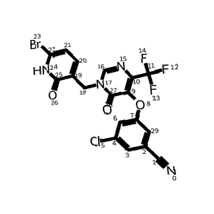 N#Cc1cc(Cl)cc(Oc2c(C(F)(F)F)ncn(Cc3ccc(Br)[nH]c3=O)c2=O)c1